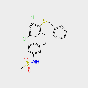 CS(=O)(=O)Nc1cccc(C=C2c3ccccc3CSc3c(Cl)cc(Cl)cc32)c1